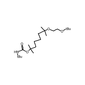 CC(C)(C)NC(=O)OC(C)(C)CCCCC(C)(C)OCCOC(C)(C)C